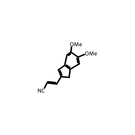 COc1cc2c(cc1OC)CC(C=CC#N)=C2